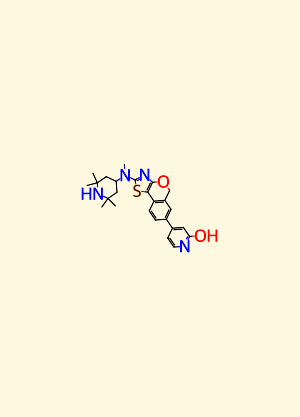 CN(c1nc2c(s1)-c1ccc(-c3ccnc(O)c3)cc1CO2)C1CC(C)(C)NC(C)(C)C1